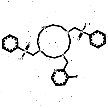 O=P(O)(CN1CCNCCN(CP(=O)(O)c2ccccc2)CCN(Cc2ncccc2F)CC1)c1ccccc1